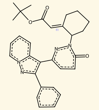 CC(C)(C)OC(=O)/C=C1\CCCCC1n1nc(-c2c(-c3ccccc3)nn3ccccc23)ccc1=O